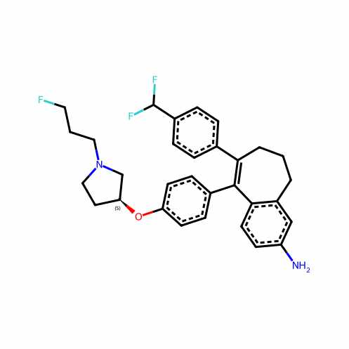 Nc1ccc2c(c1)CCCC(c1ccc(C(F)F)cc1)=C2c1ccc(O[C@H]2CCN(CCCF)C2)cc1